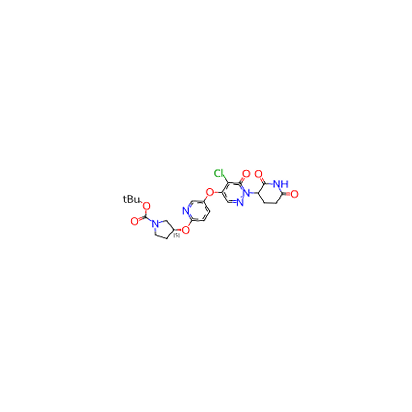 CC(C)(C)OC(=O)N1CC[C@H](Oc2ccc(Oc3cnn(C4CCC(=O)NC4=O)c(=O)c3Cl)cn2)C1